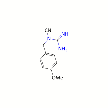 COc1ccc(CN(C#N)C(=N)N)cc1